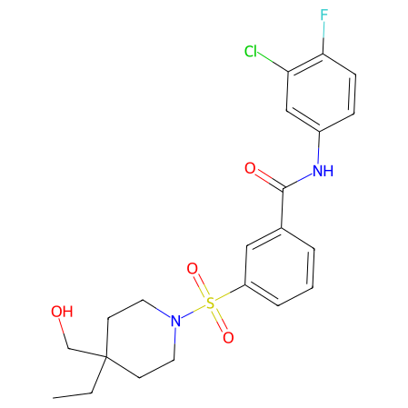 CCC1(CO)CCN(S(=O)(=O)c2cccc(C(=O)Nc3ccc(F)c(Cl)c3)c2)CC1